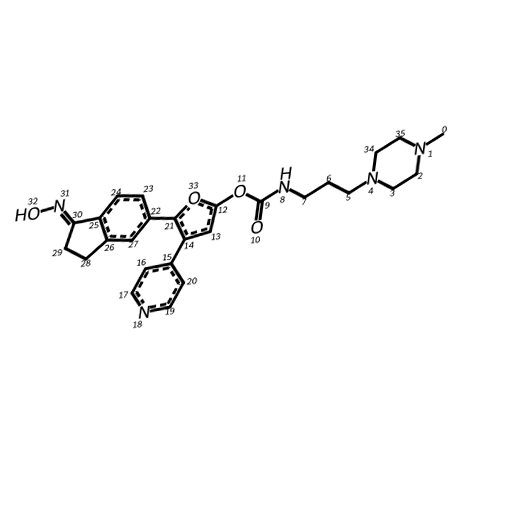 CN1CCN(CCCNC(=O)Oc2cc(-c3ccncc3)c(-c3ccc4c(c3)CCC4=NO)o2)CC1